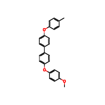 COc1ccc(Oc2ccc(-c3ccc(Oc4ccc(C)cc4)cc3)cc2)cc1